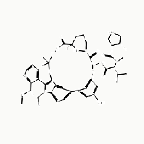 CCn1c(-c2cccnc2[C@H](C)OC)c2c3cc(ccc31)-c1cc(O)cc(c1)C[C@H](NC(=O)[C@H](C(C)C)N(C)C(=O)[C@@H]1CNC[C@@H]1C)C(=O)N1CCC[C@H](N1)C(=O)OCC(C)(C)C2